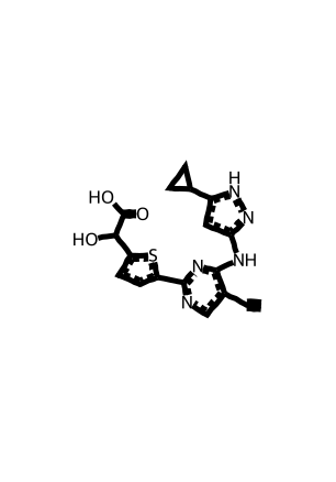 C#Cc1cnc(-c2ccc(C(O)C(=O)O)s2)nc1Nc1cc(C2CC2)[nH]n1